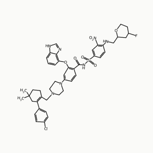 CC1(C)CCC(CN2CCN(c3ccc(C(=O)NS(=O)(=O)c4ccc(NCC5CC(F)CCO5)c([N+](=O)[O-])c4)c(Oc4cccc5[nH]cnc45)c3)CC2)=C(c2ccc(Cl)cc2)C1